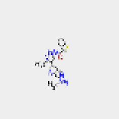 CNc1cc2ncc(-c3cc(NC(=O)c4csc5c4CCCC5)cnc3C)cc2cn1